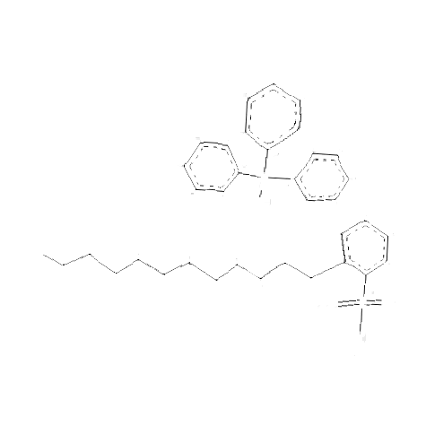 CCCCCCCCCCCCc1ccccc1S(=O)(=O)O.C[PH](c1ccccc1)(c1ccccc1)c1ccccc1